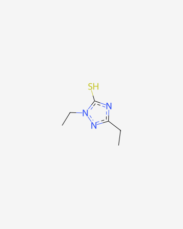 CCc1nc(S)n(CC)n1